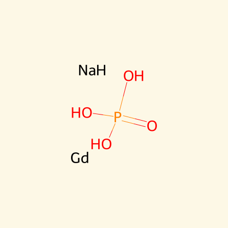 O=P(O)(O)O.[Gd].[NaH]